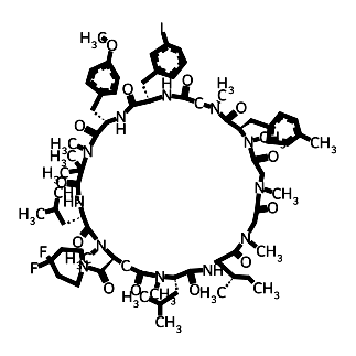 CC[C@H](C)[C@@H]1NC(=O)[C@H](CC(C)C)N(C)C(=O)C[C@@H](C(=O)N2CCC(F)(F)CC2)N(C)C(=O)[C@H](CC(C)C)NC(=O)C(C)(C)N(C)C(=O)[C@H](Cc2ccc(OC)cc2)NC(=O)[C@H](Cc2cccc(I)c2)NC(=O)CN(C)C(=O)[C@@H](Cc2ccc(C)cc2)N(C)C(=O)CN(C)C(=O)CN(C)C1=O